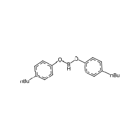 CCCCc1ccc(OBOc2ccc(CCCC)cc2)cc1